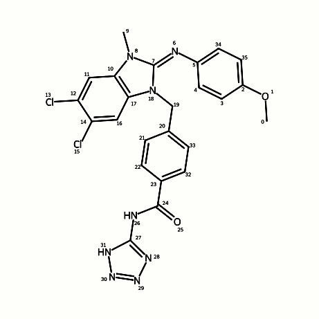 COc1ccc(N=c2n(C)c3cc(Cl)c(Cl)cc3n2Cc2ccc(C(=O)Nc3nnn[nH]3)cc2)cc1